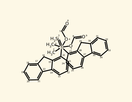 [CH3][Ti]([CH3])(=[SiH2])([O]C=O)([O]C=O)([c]1cccc2c1Cc1ccccc1-2)[c]1cccc2c1Cc1ccccc1-2